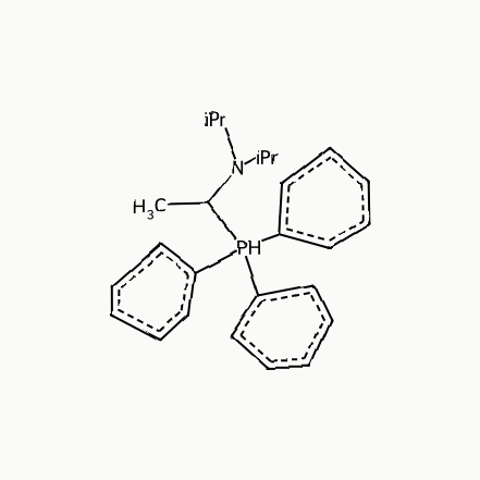 CC(C)N(C(C)C)C(C)[PH](c1ccccc1)(c1ccccc1)c1ccccc1